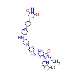 C=CCn1c(=O)c2cnc(Nc3ccc(N4CCC(NC5CCN(c6ccc(C7CC(=O)NC(=O)C7)cc6)CC5)CC4)cc3)nc2n1-c1ccc2c(n1)C(CC)CC2